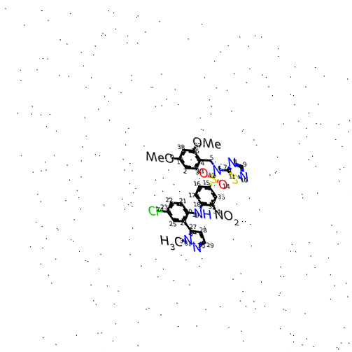 COc1ccc(CN(c2ncns2)S(=O)(=O)c2ccc(Nc3ccc(Cl)cc3-c3ccnn3C)c([N+](=O)[O-])c2)c(OC)c1